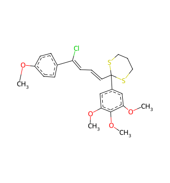 COc1ccc(/C(Cl)=C/C=C/C2(c3cc(OC)c(OC)c(OC)c3)SCCCS2)cc1